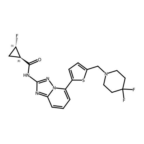 O=C(Nc1nc2cccc(-c3ccc(CN4CCC(F)(F)CC4)s3)n2n1)[C@H]1C[C@@H]1F